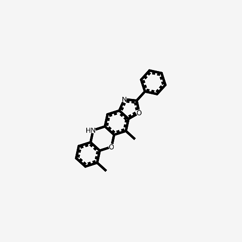 Cc1cccc2c1Oc1c(cc3nc(-c4ccccc4)oc3c1C)N2